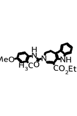 CCOC(=O)C1=CN(C(=O)Nc2ccc(OC)cc2C)CCc2c1[nH]c1ccccc21